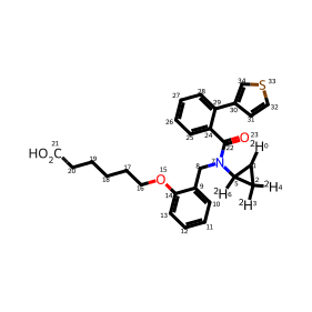 [2H]C1C([2H])([2H])C1([2H])N(Cc1ccccc1OCCCCCC(=O)O)C(=O)c1ccccc1-c1ccsc1